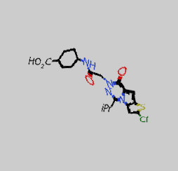 CC(C)c1nn(CC(=O)NC2CCC(C(=O)O)CC2)c(=O)c2cc3sc(Cl)cc3n12